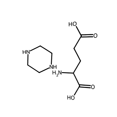 C1CNCCN1.NC(CCC(=O)O)C(=O)O